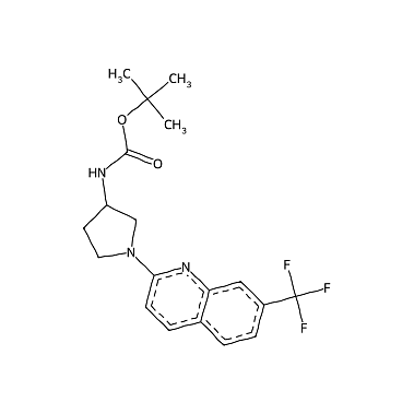 CC(C)(C)OC(=O)NC1CCN(c2ccc3ccc(C(F)(F)F)cc3n2)C1